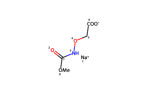 COC(=O)NOCC(=O)[O-].[Na+]